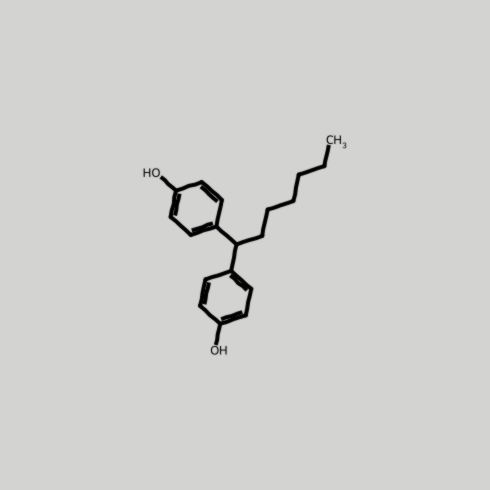 CCCCCCC(c1ccc(O)cc1)c1ccc(O)cc1